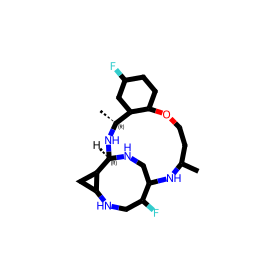 CC1CCOC2CCC(F)CC2[C@@H](C)N[C@H]2NCC(N1)C(F)CNC1CC12